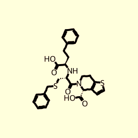 O=C(O)[C@@H](CCc1ccccc1)N[C@@H](CSCc1ccccc1)C(=O)N1CCc2sccc2[C@@H]1C(=O)O